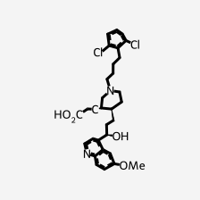 COc1ccc2nccc([C@H](O)CC[C@@H]3CCN(CCCCc4c(Cl)cccc4Cl)C[C@H]3CCC(=O)O)c2c1